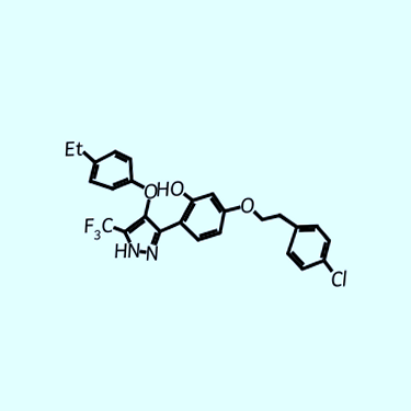 CCc1ccc(Oc2c(-c3ccc(OCCc4ccc(Cl)cc4)cc3O)n[nH]c2C(F)(F)F)cc1